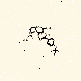 COC(=O)[C@@H]1CCCN1C(=O)[C@@H](NC(=O)c1ccc(OC(F)(F)F)cc1)C(C)C